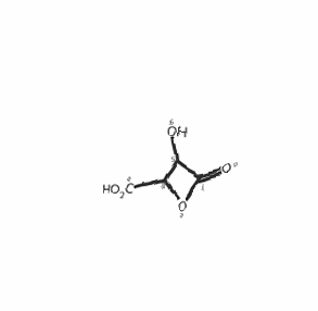 O=C1OC(C(=O)O)C1O